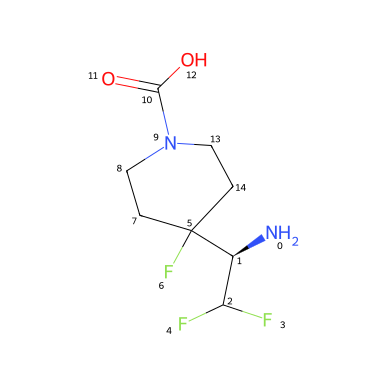 N[C@@H](C(F)F)C1(F)CCN(C(=O)O)CC1